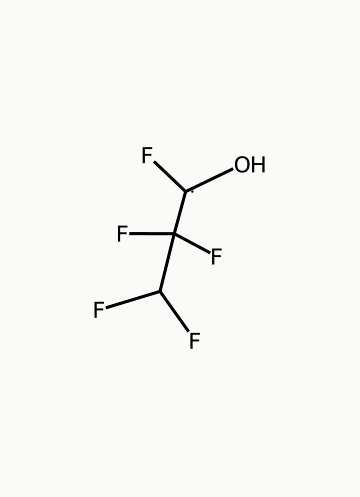 O[C](F)C(F)(F)C(F)F